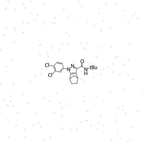 CC(C)(C)NC(=O)c1nn(-c2ccc(Cl)c(Cl)c2)c2c1C1CCC2C1